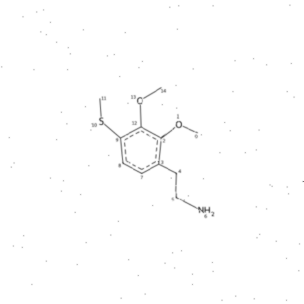 COc1c(CCN)ccc(SC)c1OC